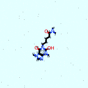 CN(C)C(=O)CCCCN1C(=O)c2c(ncn2C)N(C)C1O